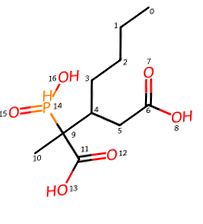 CCCCC(CC(=O)O)C(C)(C(=O)O)[PH](=O)O